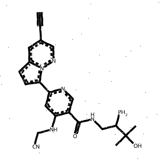 C#Cc1cnn2c(-c3cc(NCC#N)c(C(=O)NCC(P)C(C)(C)O)cn3)ccc2c1